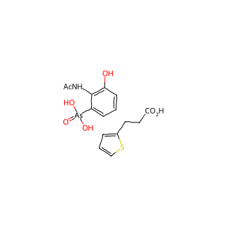 CC(=O)Nc1c(O)cccc1[As](=O)(O)O.O=C(O)CCc1cccs1